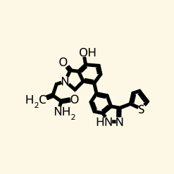 C=C(CN1Cc2c(-c3ccc4[nH]nc(-c5cccs5)c4c3)ccc(O)c2C1=O)C(N)=O